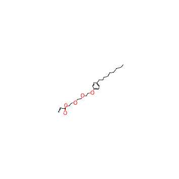 C=CC(=O)OCCOCCOCCOc1ccc(CCCCCCCCC)cc1